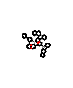 C1=CC(c2cccc(-n3c4ccccc4c4cc5ccccc5cc43)c2)C(N(c2ccc(-c3ccccc3)c(-c3cccc4ccccc34)c2)c2ccc(-c3ccccc3)cc2-c2ccccc2)C=C1